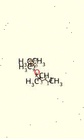 CCCCC(C)(C)COCCS(C)(C)C